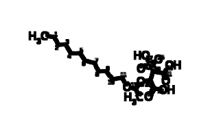 CCCCCCCCCCCCOC(C)OC(C(=O)O)C(C(=O)O)S(=O)(=O)O